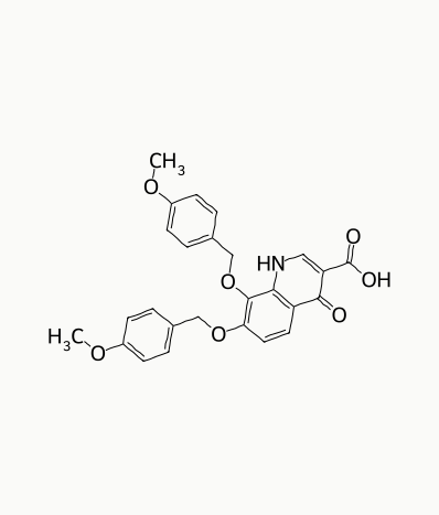 COc1ccc(COc2ccc3c(=O)c(C(=O)O)c[nH]c3c2OCc2ccc(OC)cc2)cc1